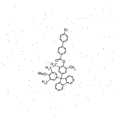 COc1c(C)cc(C2(c3cc(C)c(OC(=O)c4ccc(-c5ccc(C(C)=O)cc5)cc4)c(C)c3)c3ccccc3-c3ccccc32)cc1C